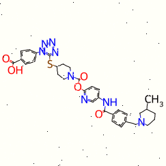 CC1CCCN(Cc2ccc(C(=O)Nc3ccc(OC(=O)N4CCC(Sc5nnnn5-c5ccc(C(=O)O)cc5)CC4)nc3)cc2)C1